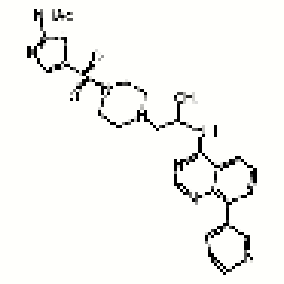 CC(=O)Nc1ncc(S(=O)(=O)N2CCN(CC(C)Nc3ncnc4c(-c5cccnc5)cccc34)CC2)s1